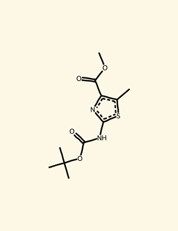 COC(=O)c1nc(NC(=O)OC(C)(C)C)sc1C